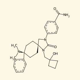 CN(C)[C@]1(c2ccccc2)CC[C@@]2(CC1)CN(c1ccc(C(N)=O)cc1)C(=O)N2CC1(O)CCC1